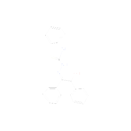 OC(C(=NNC(=S)Nc1ccccc1)c1ccccc1)c1ccccc1